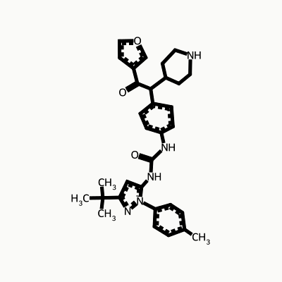 Cc1ccc(-n2nc(C(C)(C)C)cc2NC(=O)Nc2ccc(C(C(=O)c3ccoc3)C3CCNCC3)cc2)cc1